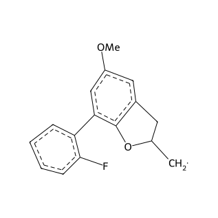 [CH2]C1Cc2cc(OC)cc(-c3ccccc3F)c2O1